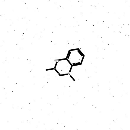 CC1CN(C)c2ccccc2N1